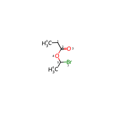 CCC(=O)OC(C)Br